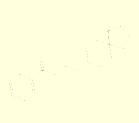 CN1CCC(=O)C12CCN(CCCC(=O)c1ccccc1)CC2